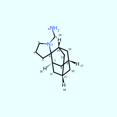 NCN1CCCC12[C@H]1C[C@H]3C[C@H](C1)C[C@H]2C3